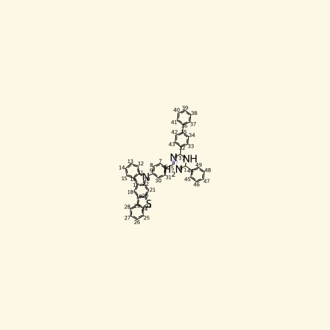 NC(NC(/N=C/c1ccc(-n2c3ccccc3c3cc4c(cc32)sc2ccccc24)cc1)c1ccc(-c2ccccc2)cc1)c1ccccc1